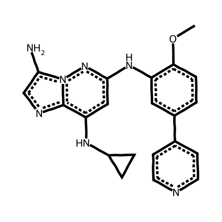 COc1ccc(-c2ccncc2)cc1Nc1cc(NC2CC2)c2ncc(N)n2n1